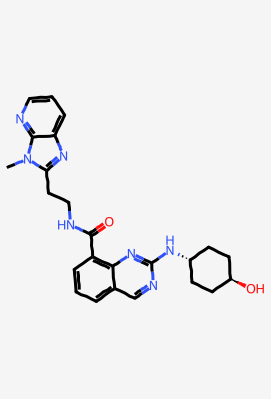 Cn1c(CCNC(=O)c2cccc3cnc(N[C@H]4CC[C@H](O)CC4)nc23)nc2cccnc21